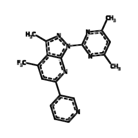 Cc1cc(C)nc(-n2nc(C)c3c(C(F)(F)F)cc(-c4cccnc4)nc32)n1